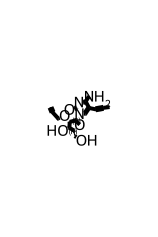 C#CCOC1C(O)[C@@H](CO)O[C@H]1n1cc(C#CC)c(N)nc1=O